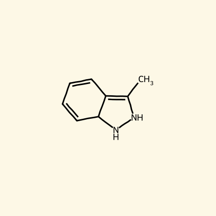 CC1=C2C=CC=CC2NN1